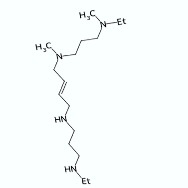 CCNCCCNC/C=C/CN(C)CCCN(C)CC